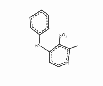 Cc1nccc(Nc2ccccc2)c1[N+](=O)[O-]